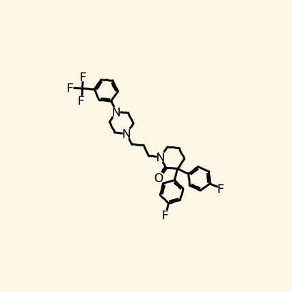 O=C1N(CCCN2CCN(c3cccc(C(F)(F)F)c3)CC2)CCCC1(c1ccc(F)cc1)c1ccc(F)cc1